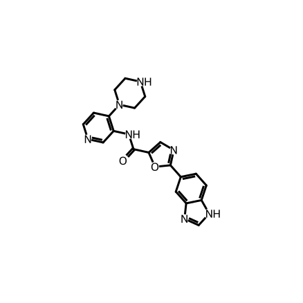 O=C(Nc1cnccc1N1CCNCC1)c1cnc(-c2ccc3[nH]cnc3c2)o1